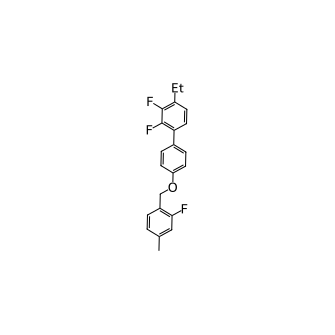 CCc1ccc(-c2ccc(OCc3ccc(C)cc3F)cc2)c(F)c1F